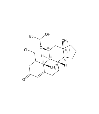 CCC(O)O[C@H]1C[C@]2(C)CCC[C@H]2[C@@H]2CCC3=CC(=O)CC(CCl)[C@]3(C)[C@H]21